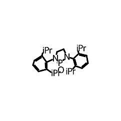 CC(C)c1cccc(C(C)C)c1N1CCN(c2c(C(C)C)cccc2C(C)C)[P]1=O